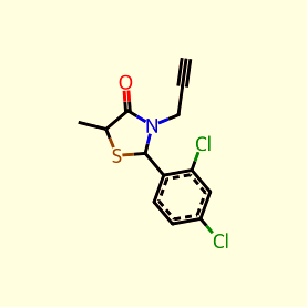 C#CCN1C(=O)C(C)SC1c1ccc(Cl)cc1Cl